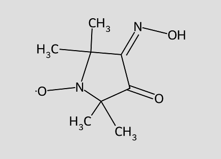 CC1(C)C(=O)/C(=N\O)C(C)(C)N1[O]